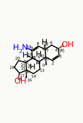 C[C@]12C=C[C@H](O)C[C@H]1C=C(N)[C@@H]1[C@@H]2CC[C@]2(C)C(O)CC[C@@H]12